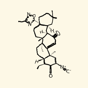 [C-]#[N+]C1=C[C@]2(C)C3=CC(=O)[C@@H]4[C@@H]5CC(C)(C)CC[C@]5(c5nc(C)no5)CC[C@@]4(C)[C@]3(C)CC[C@H]2[C@H](C)C1=O